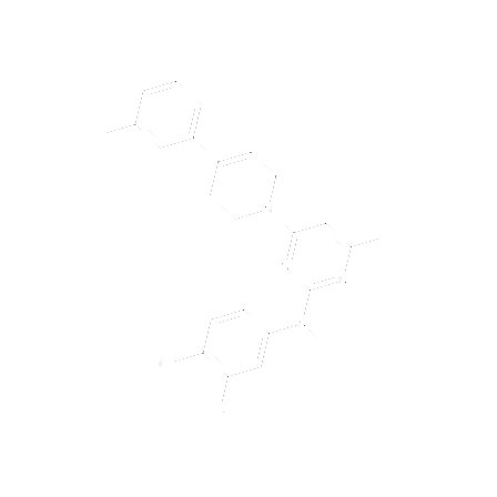 CCN(c1ccc(C(C)C)c(Br)c1)c1nc(C)cc(N2CC=C(c3cccc(Cl)c3)CC2)n1.Cl